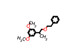 COc1cc(OC)cc(C(C)COCCc2ccccc2)c1